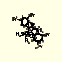 CC1=Cc2c(C(C)C)cc(C(C)C)cc2[CH]1[Zr]([CH3])([CH3])(=[SiH2])[CH]1C(C)=Cc2c(C(C)C)cc(C(C)C)cc21